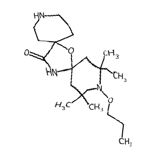 CCCON1C(C)(C)CC2(CC1(C)C)NC(=O)C1(CCNCC1)O2